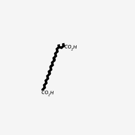 CC(CCCCC=CCC=CCC=CCCCCCCCC(=O)O)CC(C)C(=O)O